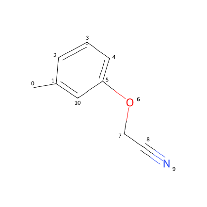 Cc1c[c]cc(OCC#N)c1